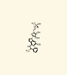 CC(Nc1nc(C#N)nc2c1ccn2[C@@H]1O[C@H](COOP(C)(=O)O)[C@@H](O)[C@H]1O)c1ccccc1